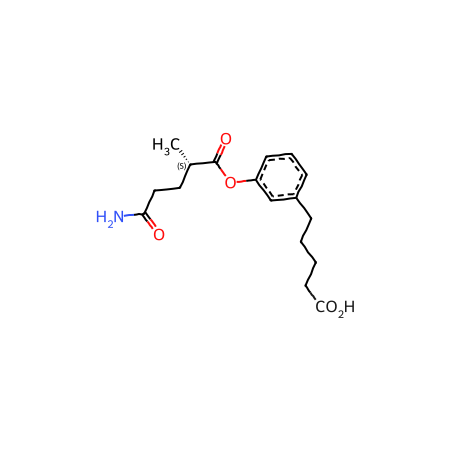 C[C@@H](CCC(N)=O)C(=O)Oc1cccc(CCCCC(=O)O)c1